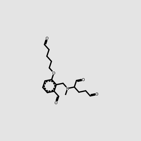 CN(Cc1c(C=O)cccc1OCCCCC=O)C(C=O)CCC=O